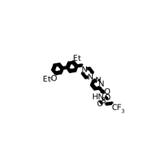 CCOc1cccc(-c2ccc(CN3CCN(c4ccc(C(=O)NS(=O)(=O)CCC(F)(F)F)nn4)CC3)c(CC)c2)c1